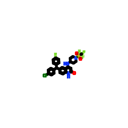 O=c1cc(NC2CCN(S(=O)(=O)C(F)(F)F)CC2)c2cc(C(c3ccc(F)cc3)c3ccc(Cl)cc3)ccc2[nH]1